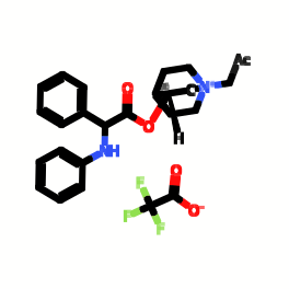 CC(=O)C[N+]12CCC(CC1)[C@@H](OC(=O)C(Nc1ccccc1)c1ccccc1)C2.O=C([O-])C(F)(F)F